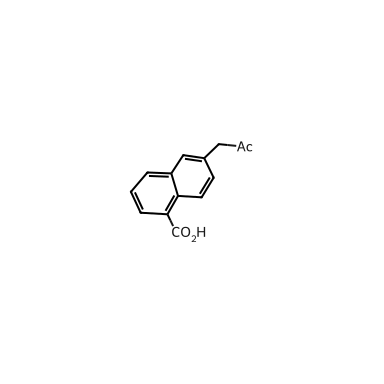 CC(=O)Cc1ccc2c(C(=O)O)cccc2c1